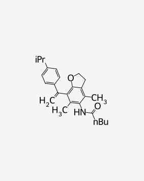 C=C(c1ccc(C(C)C)cc1)c1c(C)c(NC(=O)CCCC)c(C)c2c1OCC2